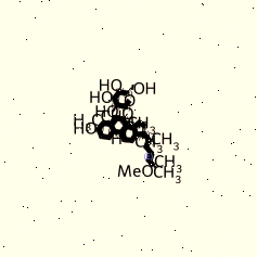 COC(C)(C)/C=C/C[C@@H](C)[C@H]1CC[C@@]2(C)[C@@H]3[C@@H](O[C@H]4O[C@@H](CO)[C@H](O)[C@H](O)[C@@H]4O)C=C4[C@@H](CC[C@H](O)C4(C)C)[C@]3(C)CC[C@]12C